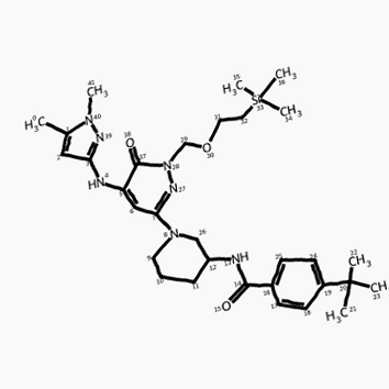 Cc1cc(Nc2cc(N3CCCC(NC(=O)c4ccc(C(C)(C)C)cc4)C3)nn(COCC[Si](C)(C)C)c2=O)nn1C